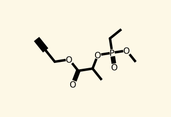 C#CCOC(=O)C(C)OP(=O)(CC)OC